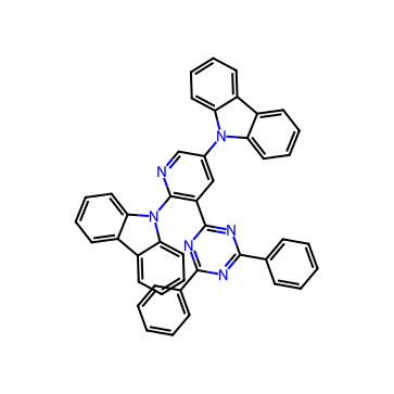 c1ccc(-c2nc(-c3ccccc3)nc(-c3cc(-n4c5ccccc5c5ccccc54)cnc3-n3c4ccccc4c4ccccc43)n2)cc1